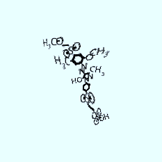 COCCS(=O)(=O)c1cc(OC)c(N=Nc2c(C)nn(-c3ccc(S(=O)(=O)CCOS(=O)(=O)O)cc3)c2O)cc1C